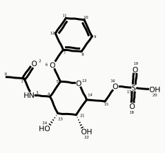 CC(=O)NC1C(Oc2ccccc2)OC(COS(=O)(=O)O)[C@H](O)[C@@H]1O